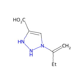 C=C(CC)N1C=C(C(=O)O)NN1